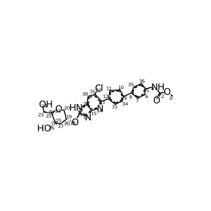 COC(=O)Nc1ccc(-c2ccc(-c3nc4nc(O[C@H]5CO[C@H](CO)[C@@H](O)C5)[nH]c4cc3Cl)cc2)cc1